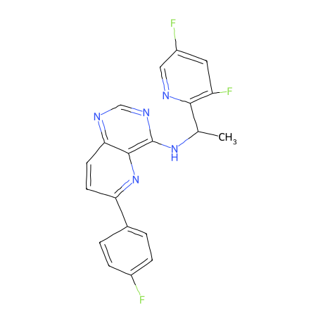 CC(Nc1ncnc2ccc(-c3ccc(F)cc3)nc12)c1ncc(F)cc1F